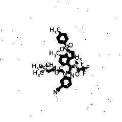 Cc1ccc(S(=O)(=O)n2ccc3c(C(c4nc5ccc(C#N)cc5n4COCC[Si](C)(C)C)N(C)C(=O)C(F)(F)F)c(C)cc(C)c32)cc1